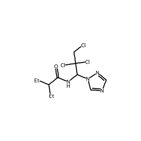 CCC(CC)C(=O)NC(n1cncn1)C(Cl)(Cl)CCl